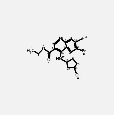 CCOC(=O)c1cnc2cc(F)c(Br)cc2c1NC1CCC(O)C1